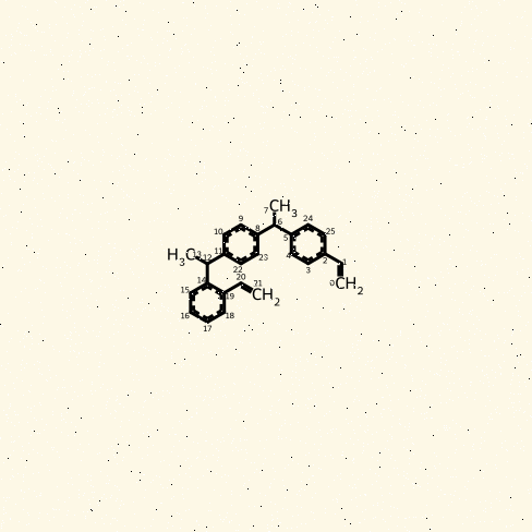 C=Cc1ccc(C(C)c2ccc(C(C)c3ccccc3C=C)cc2)cc1